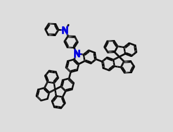 CN(c1ccccc1)c1ccc(-n2c3ccc(-c4ccc5c(c4)C4(C6=C(C=CCC6)c6ccccc64)c4ccccc4-5)cc3c3cc(-c4ccc5c(c4)C4(c6ccccc6-c6ccccc64)c4ccccc4-5)ccc32)cc1